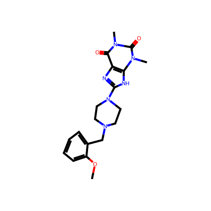 COc1ccccc1CN1CCN(c2nc3c(=O)n(C)c(=O)n(C)c3[nH]2)CC1